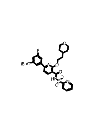 CC(C)COc1cc(F)cc(-c2ccc(C(=O)NS(=O)(=O)c3ccccn3)c(OCCC3CCOCC3)n2)c1